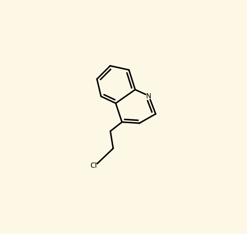 ClCCc1ccnc2ccccc12